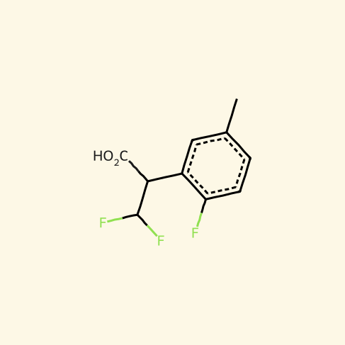 Cc1ccc(F)c(C(C(=O)O)C(F)F)c1